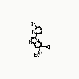 CCOc1cc2ncc(-c3cccc(Br)n3)n2cc1C1CC1